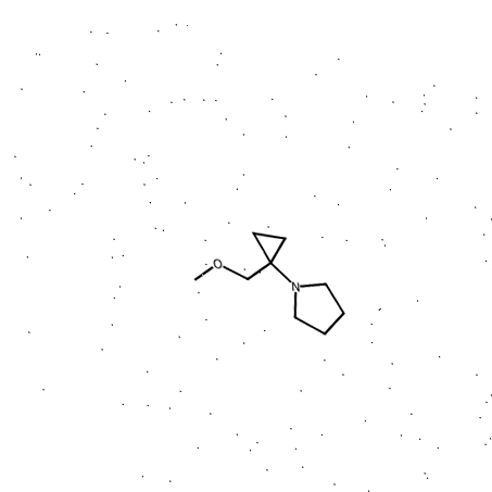 COCC1(N2CCCC2)CC1